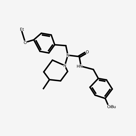 CCOc1ccc(CN(C(=O)NCc2ccc(OCC(C)C)cc2)N2CCC(C)CC2)cc1